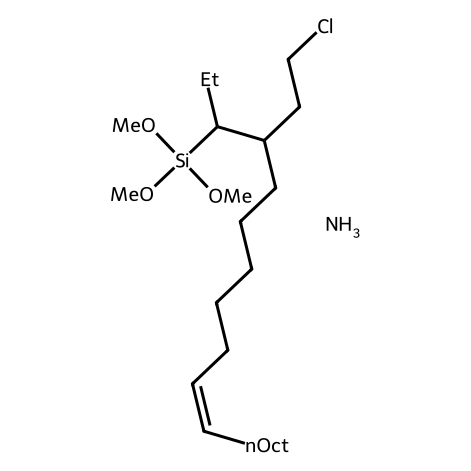 CCCCCCCC/C=C\CCCCCC(CCCl)C(CC)[Si](OC)(OC)OC.N